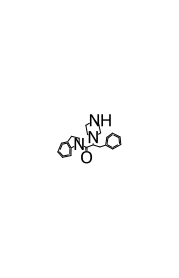 O=C(C(Cc1ccccc1)N1CCNCC1)N1CCc2ccccc21